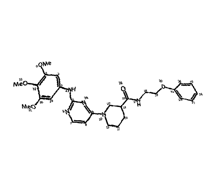 COc1cc(Nc2nccc(N3CCCC(C(=O)NCCOc4ccccc4)C3)n2)cc(OC)c1OC